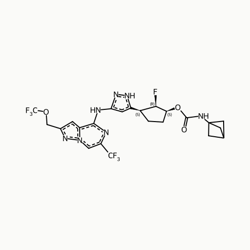 O=C(NC12CC(C1)C2)O[C@H]1CC[C@@H](c2cc(Nc3nc(C(F)(F)F)cn4nc(COC(F)(F)F)cc34)n[nH]2)[C@H]1F